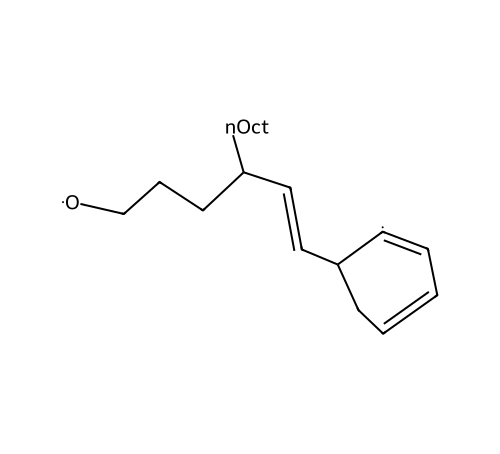 CCCCCCCCC(C=CC1[C]=CC=CC1)CCC[O]